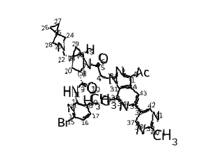 CC(=O)c1nn(CC(=O)N2[C@H](C(=O)Nc3nc(Br)ccc3C)C[C@@]3(CN4CC5(CC5)C4)C[C@@H]23)c2c(C)nc(-c3cnc(C)nc3)cc12